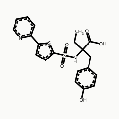 CCC(Cc1ccc(O)cc1)(NS(=O)(=O)c1ccc(-c2ccccn2)s1)C(=O)O